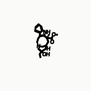 CCC1(O)C[C@H]2C[N@](CCc3c([nH]c4ccccc34)[C@](C)(C(=O)OC)C2)C1